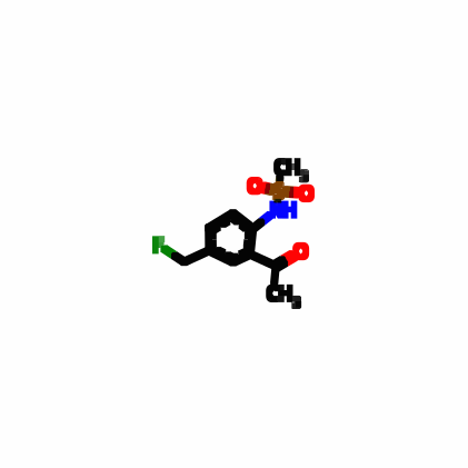 CC(=O)c1cc(CF)ccc1NS(C)(=O)=O